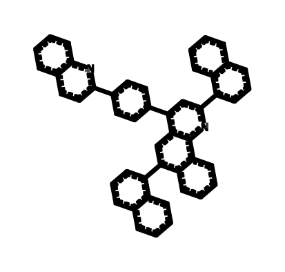 c1ccc2nc(-c3ccc(-c4cc(-c5cccc6ccccc56)nc5c4cc(-c4cccc6ccccc46)c4ccccc45)cc3)ccc2c1